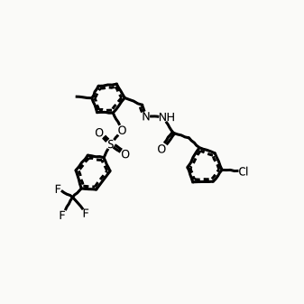 Cc1ccc(C=NNC(=O)Cc2cccc(Cl)c2)c(OS(=O)(=O)c2ccc(C(F)(F)F)cc2)c1